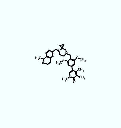 COc1cc(-c2cn(C)c(=O)c(C)c2C)cc(OC)c1CN1CCN(Cc2ccc3c(n2)CCNC3C)C2(CC2)C1